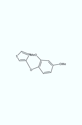 COc1ccc(Oc2cs[c]n2)c(OC)c1